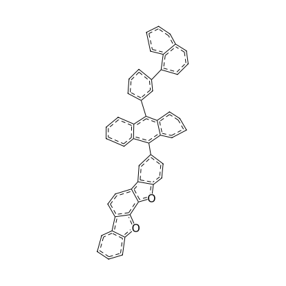 c1cc(-c2cccc3ccccc23)cc(-c2c3ccccc3c(-c3ccc4oc5c(ccc6c7ccccc7oc65)c4c3)c3ccccc23)c1